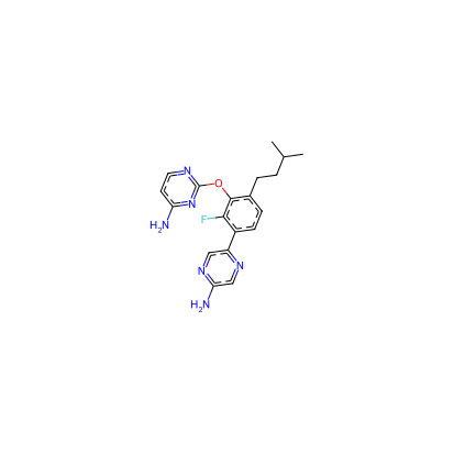 CC(C)CCc1ccc(-c2cnc(N)cn2)c(F)c1Oc1nccc(N)n1